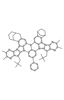 Cc1nc2c(CC(C)(C)C)c3n4c5c(cc6c(c5n3c2nc1C)C1CCCC(C6)C1)B1c2c-4cc(-c3ccccc3)cc2-n2c3c1cc1c(c3n3c4nc(C)c(C)nc4c(CC(C)(C)C)c23)C2CCC1CC2